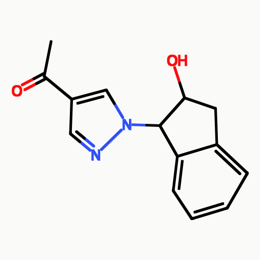 CC(=O)c1cnn(C2c3ccccc3CC2O)c1